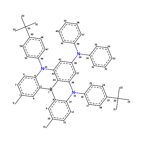 Cc1ccc2c(c1)B1c3cc(C)ccc3N(c3ccc(C(C)(C)C)cc3)c3cc(N(c4ccccc4)c4ccccc4)cc(c31)N2c1ccc(C(C)(C)C)cc1